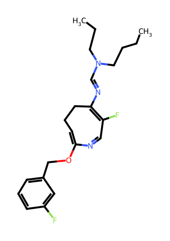 CCCCN(/C=N/C1=C(F)/C=N\C(OCc2cccc(F)c2)=C\CC1)CCC